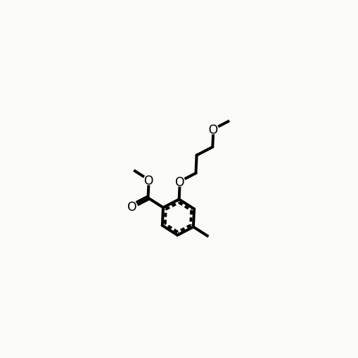 COCCCOc1cc(C)ccc1C(=O)OC